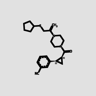 C=C(CSC1CCCC1)N1CCN(C(=O)[C@H]2C[C@@H]2c2cccc(C#N)c2)CC1